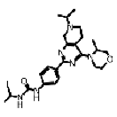 CC(I)NC(=O)Nc1ccc(-c2nc3c(c(N4CCOCC4C)n2)CCN(C(C)C)C3)cc1